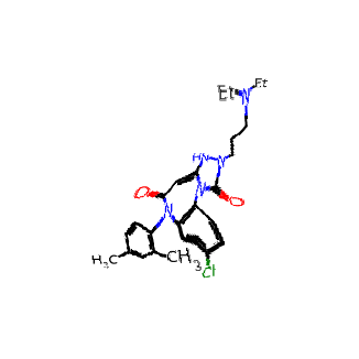 CCN(CC)CCCN1NC2=CC(=O)N(c3ccc(C)cc3C)c3cc(Cl)ccc3N2C1=O